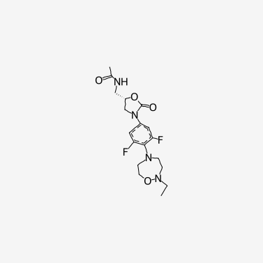 CCN1CCN(c2c(F)cc(N3C[C@H](CNC(C)=O)OC3=O)cc2F)CCO1